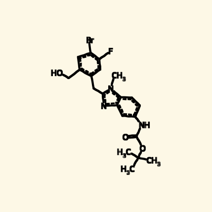 Cn1c(Cc2cc(F)c(Br)cc2CO)nc2cc(NC(=O)OC(C)(C)C)ccc21